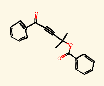 CC(C)(C#CC(=O)c1ccccc1)OC(=O)c1ccccc1